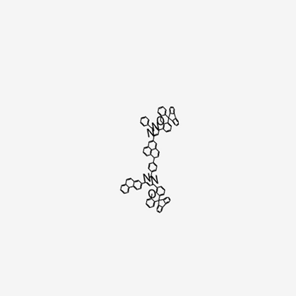 C1=CC(c2ccc(-c3nc(-c4ccc5c(ccc6ccccc65)c4)cc(-c4cccc5c4Oc4ccccc4C54c5ccccc5-c5ccccc54)n3)cc2)c2cccc3cc(-c4cc(-c5cccc6c5Oc5ccccc5C65c6ccccc6-c6ccccc65)nc(-c5ccccc5)n4)cc1c23